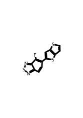 Fc1c(-c2cc3sccc3s2)ccc2nsnc12